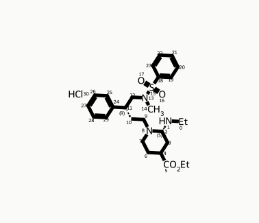 CCN[C@@H]1CC(C(=O)OCC)CCN1CC[C@@H](CN(C)S(=O)(=O)c1ccccc1)c1ccccc1.Cl